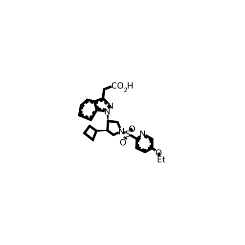 CCOc1ccc(S(=O)(=O)N2C[C@@H](C3CCC3)[C@@H](n3nc(CC(=O)O)c4ccccc43)C2)nc1